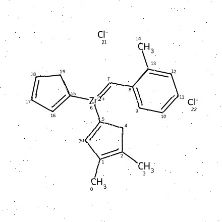 CC1=C(C)C[C]([Zr+2](=[CH]c2ccccc2C)[C]2=CC=CC2)=C1.[Cl-].[Cl-]